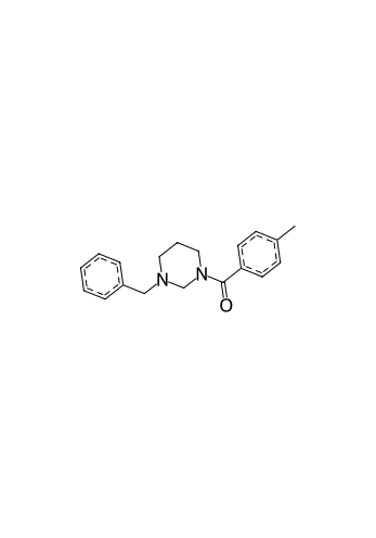 Cc1ccc(C(=O)N2CCCN(Cc3ccccc3)C2)cc1